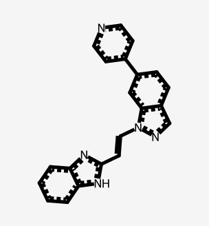 C(=Cn1ncc2ccc(-c3ccncc3)cc21)c1nc2ccccc2[nH]1